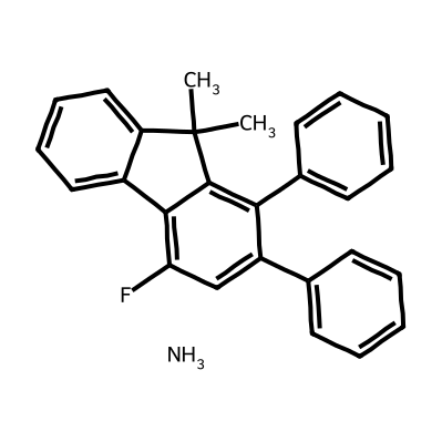 CC1(C)c2ccccc2-c2c(F)cc(-c3ccccc3)c(-c3ccccc3)c21.N